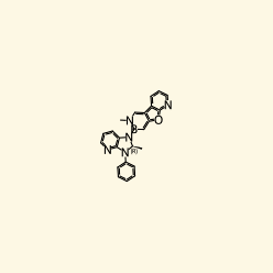 C[C@@H]1N(B2C=c3oc4ncccc4c3=CN2C)c2cccnc2N1c1ccccc1